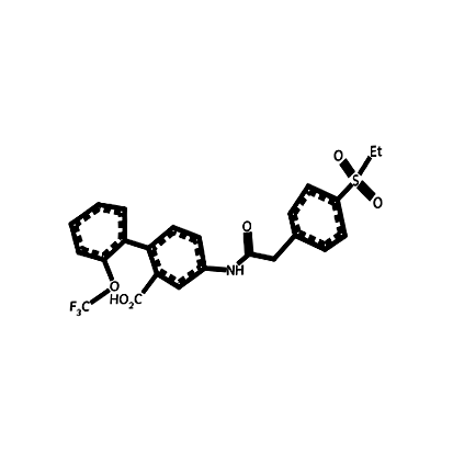 CCS(=O)(=O)c1ccc(CC(=O)Nc2ccc(-c3ccccc3OC(F)(F)F)c(C(=O)O)c2)cc1